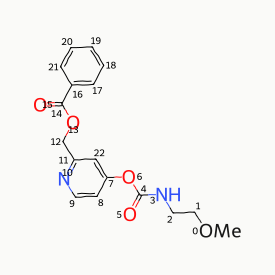 COCCNC(=O)Oc1ccnc(COC(=O)c2ccccc2)c1